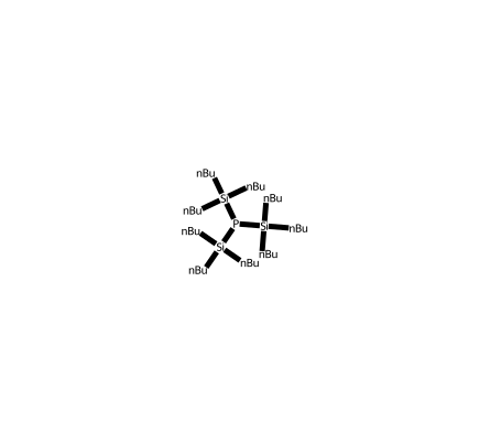 CCCC[Si](CCCC)(CCCC)P([Si](CCCC)(CCCC)CCCC)[Si](CCCC)(CCCC)CCCC